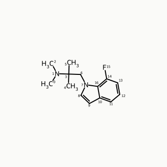 CN(C)C(C)(C)Cn1ccc2cccc(F)c21